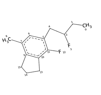 CCC(F)Cc1cc(C)c2c(c1F)CCC2